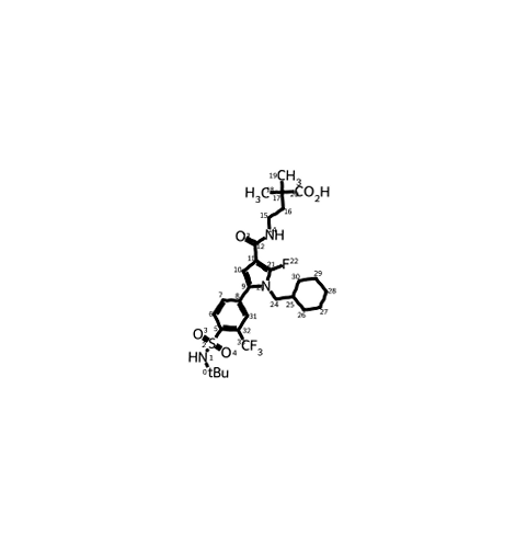 CC(C)(C)NS(=O)(=O)c1ccc(-c2cc(C(=O)NCCC(C)(C)C(=O)O)c(F)n2CC2CCCCC2)cc1C(F)(F)F